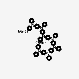 COc1ccc(N(c2ccccc2)c2ccc(N(c3ccccc3)c3ccc(N(c4ccccc4)c4ccc(N(c5ccccc5)c5ccc(N(c6ccccc6)c6ccc(N(c7ccccc7)c7ccc(N(c8ccccc8)c8ccc(OC)cc8)cc7)cc6)cc5)cc4)cc3)cc2)cc1